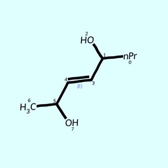 CCCC(O)/C=C/C(C)O